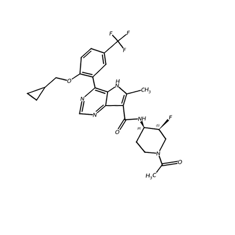 CC(=O)N1CC[C@@H](NC(=O)c2c(C)[nH]c3c(-c4cc(C(F)(F)F)ccc4OCC4CC4)ncnc23)[C@@H](F)C1